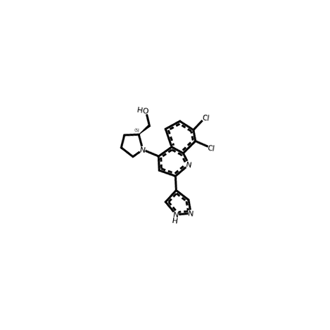 OC[C@@H]1CCCN1c1cc(-c2cn[nH]c2)nc2c(Cl)c(Cl)ccc12